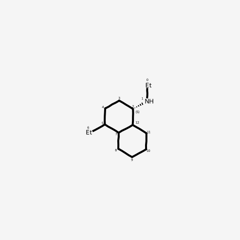 CCN[C@H]1CCC(CC)C2CCCCC21